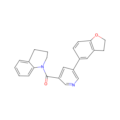 O=C(c1cncc(-c2ccc3c(c2)CCO3)c1)N1CCCc2ccccc21